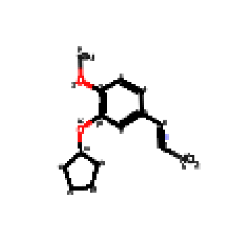 CCCCOc1ccc(/C=C/[N+](=O)[O-])cc1OC1CCCC1